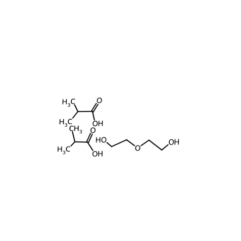 CC(C)C(=O)O.CC(C)C(=O)O.OCCOCCO